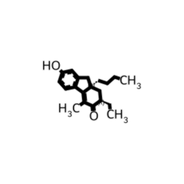 CCCC[C@@]12Cc3cc(O)ccc3C1=C(C)C(=O)[C@H](CC)C2